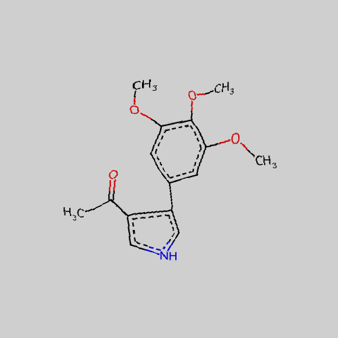 COc1cc(-c2c[nH]cc2C(C)=O)cc(OC)c1OC